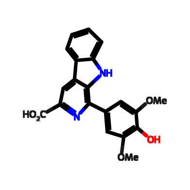 COc1cc(-c2nc(C(=O)O)cc3c2[nH]c2ccccc23)cc(OC)c1O